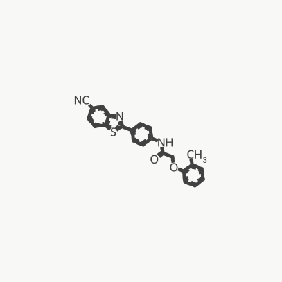 Cc1ccccc1OCC(=O)Nc1ccc(-c2nc3cc(C#N)ccc3s2)cc1